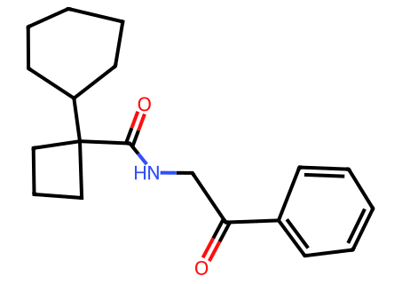 O=C(CNC(=O)C1(C2CCCCC2)CCC1)c1ccccc1